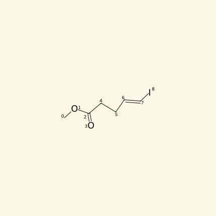 COC(=O)CC/C=C/I